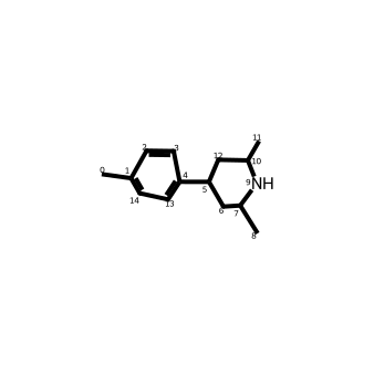 Cc1ccc(C2CC(C)NC(C)C2)cc1